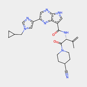 C=C(C)[C@@H](NC(=O)c1c[nH]c2ncc(-c3cn(CC4CC4)cn3)nc12)C(=O)N1CCC(C#N)CC1